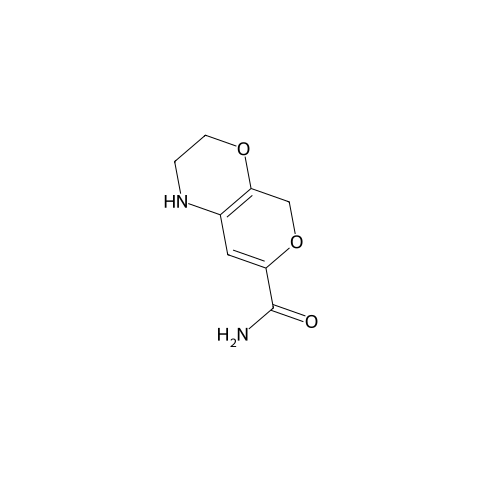 NC(=O)C1=CC2=C(CO1)OCCN2